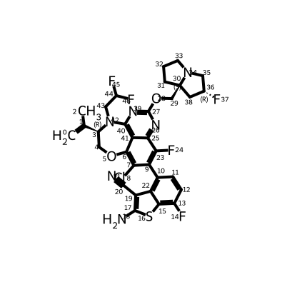 C=C(C)[C@@H]1COc2c(Cl)c(-c3ccc(F)c4sc(N)c(C#N)c34)c(F)c3nc(OC[C@@]45CCCN4C[C@H](F)C5)nc(c23)N1CC(F)F